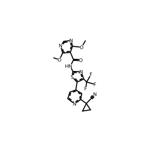 COc1ncnc(OC)c1C(=O)Nc1nc(C(F)(F)F)c(-c2ccnc(C3(C#N)CC3)c2)s1